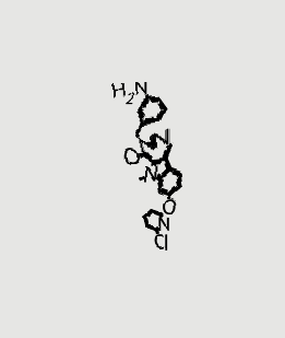 Cn1c2cc(Oc3cccc(Cl)n3)ccc2c2cnn(Cc3cccc(N)c3)c(=O)c21